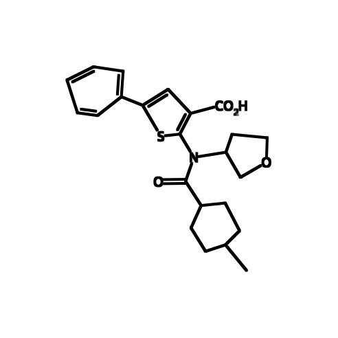 CC1CCC(C(=O)N(c2sc(-c3ccccc3)cc2C(=O)O)C2CCOC2)CC1